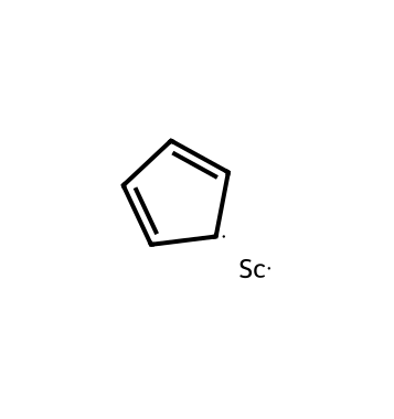 [CH]1C=CC=C1.[Sc]